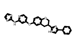 c1ccc(-c2c[nH]c(C3COc4ccc(Oc5ccnc(Nc6nccs6)c5)cc4C3)n2)cc1